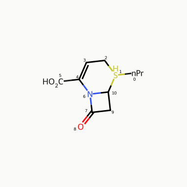 CCC[SH]1CC=C(C(=O)O)N2C(=O)CC21